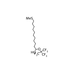 CSCCCCCCCCCCC(O)OC(C(F)(F)F)(C(F)(F)F)C(F)(F)F